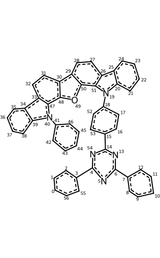 c1ccc(-c2nc(-c3ccccc3)nc(-c3ccc(-n4c5ccccc5c5ccc6c7ccc8c9ccccc9n(-c9ccccc9)c8c7oc6c54)cc3)n2)cc1